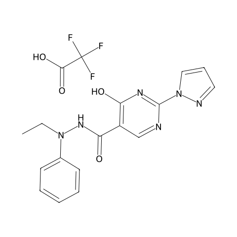 CCN(NC(=O)c1cnc(-n2cccn2)nc1O)c1ccccc1.O=C(O)C(F)(F)F